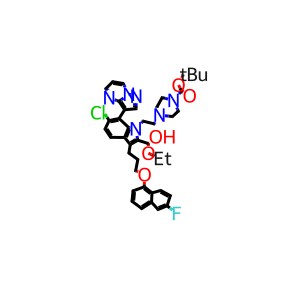 CCOC(O)c1c(CCCOc2cccc3cc(F)ccc23)c2ccc(Cl)c(-c3cnn4cccnc34)c2n1CCN1CCN(C(=O)OC(C)(C)C)CC1